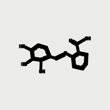 O=C(O)c1ccccc1N=Cc1ccc(O)c(O)c1O